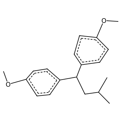 COc1ccc(C(CC(C)C)c2ccc(OC)cc2)cc1